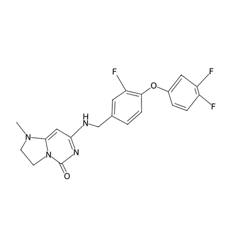 CN1CCn2c1cc(NCc1ccc(Oc3ccc(F)c(F)c3)c(F)c1)nc2=O